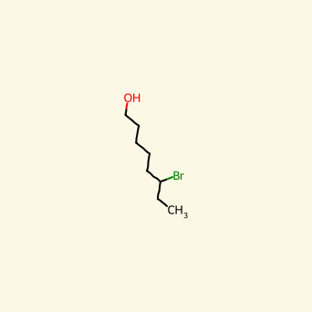 CCC(Br)CCCCCO